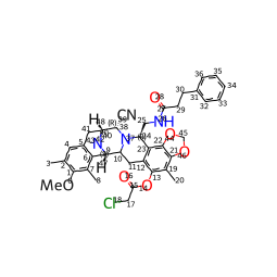 COc1c(C)cc2c(c1C)[C@H]1C3Cc4c(OC(=O)CCl)c(C)c5c(c4[C@H](CNC(=O)CCc4ccccc4)N3[C@@H](C#N)[C@@H](C2)N1C)OCO5